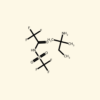 CCC(C)(C)N.O=C(NS(=O)(=O)C(F)(F)F)C(F)(F)F